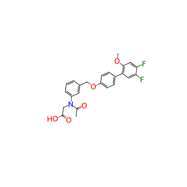 COc1cc(F)c(F)cc1-c1ccc(OCc2cccc(N(CC(=O)O)C(C)=O)c2)cc1